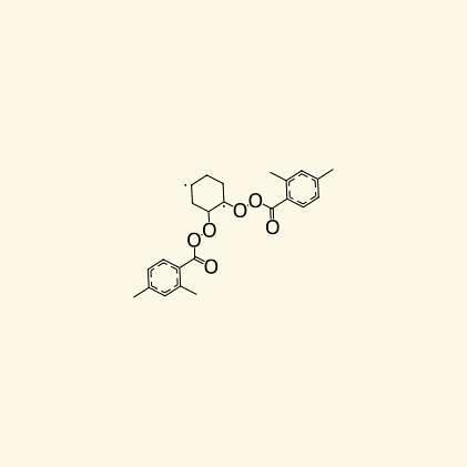 Cc1ccc(C(=O)OO[C]2CC[CH]CC2OOC(=O)c2ccc(C)cc2C)c(C)c1